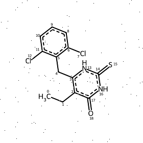 CCc1c(Cc2c(Cl)cccc2Cl)[nH]c(=S)[nH]c1=O